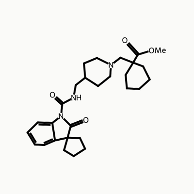 COC(=O)C1(CN2CCC(CNC(=O)N3C(=O)C4(CCCC4)c4ccccc43)CC2)CCCCC1